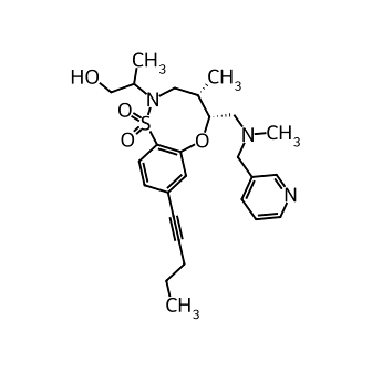 CCCC#Cc1ccc2c(c1)O[C@@H](CN(C)Cc1cccnc1)[C@@H](C)CN(C(C)CO)S2(=O)=O